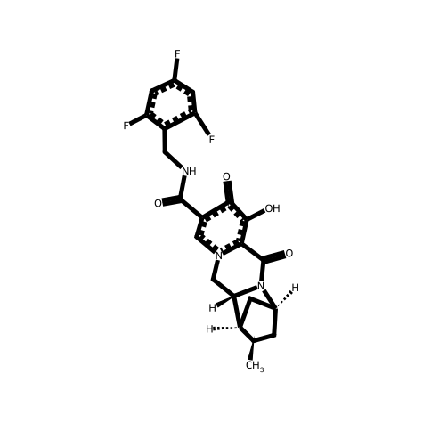 C[C@@H]1C[C@H]2C[C@@H]1[C@@H]1Cn3cc(C(=O)NCc4c(F)cc(F)cc4F)c(=O)c(O)c3C(=O)N21